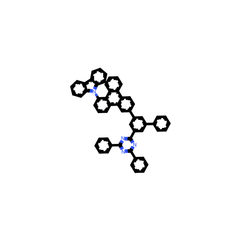 c1ccc(-c2cc(-c3ccc4c5ccccc5c5c(-n6c7ccccc7c7ccccc76)cccc5c4c3)cc(-c3nc(-c4ccccc4)nc(-c4ccccc4)n3)c2)cc1